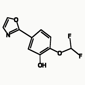 Oc1cc(-c2ncco2)ccc1OC(F)F